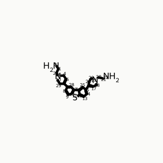 NCCN1CC=C(c2ccc3sc4ccc(C5=CCN(CCN)CC5)cc4c3c2)CC1